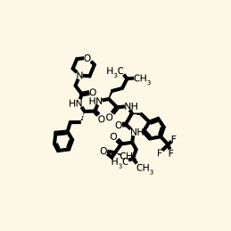 CC(C)CC[C@H](NC(=O)[C@H](CCc1ccccc1)NC(=O)CN1CCOCC1)C(=O)N[C@@H](Cc1ccc(C(F)(F)F)cc1)C(=O)NC(CC(C)C)C(=O)[C@@]1(C)CO1